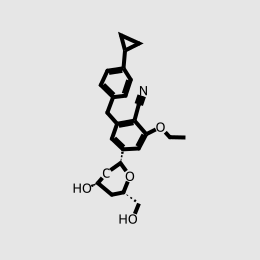 CCOc1cc([C@H]2C[C@@H](O)C[C@@H](CO)O2)cc(Cc2ccc(C3CC3)cc2)c1C#N